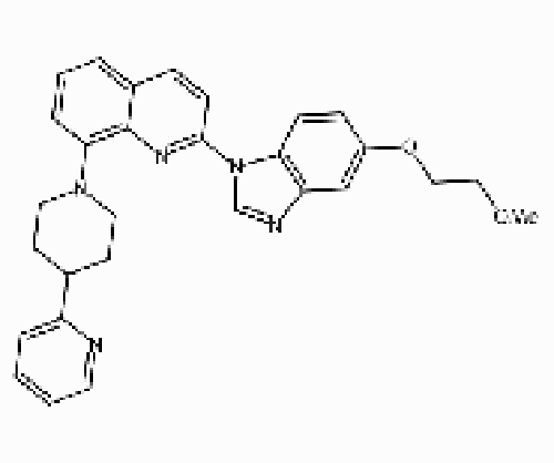 COCCOc1ccc2c(c1)ncn2-c1ccc2cccc(N3CCC(c4ccccn4)CC3)c2n1